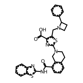 O=C(Nc1nc2ccccc2s1)c1cccc2c1CN(c1nc(C(=O)O)c(CN3CCC3c3ccccc3)s1)CC2